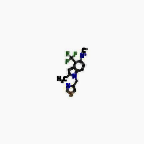 [C-]#[N+]c1ccc2c(cc(C)n2Cc2cscn2)c1C(F)(F)F